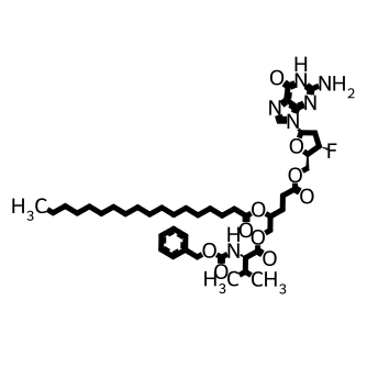 CCCCCCCCCCCCCCCCCC(=O)OC(CCC(=O)OC[C@H]1O[C@@H](n2cnc3c(=O)[nH]c(N)nc32)C[C@@H]1F)COC(=O)[C@@H](NC(=O)OCc1ccccc1)C(C)C